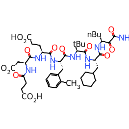 CCCC[C@H](NC(=O)[C@H](CC1CCCCC1)NC(=O)[C@@H](NC(=O)[C@H](Cc1ccccc1C)NC(=O)[C@H](CCC(=O)O)NC(=O)[C@H](CC(=O)O)NC(=O)CCC(=O)O)C(C)(C)C)C(=O)C(N)=O